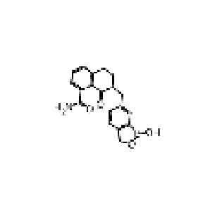 NC(=O)c1cccc2c1C(=O)C(Cc1ccc3c(c1)B(O)OC3)CC2